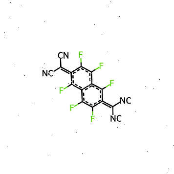 [C-]#[N+]C([N+]#[C-])=c1c(F)c(F)c2c(F)c(=C(C#N)C#N)c(F)c(F)c2c1F